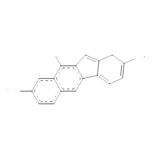 COC1=CC=C2C(=Cc3c2cc2ccc(OC)cc2c3O)C1